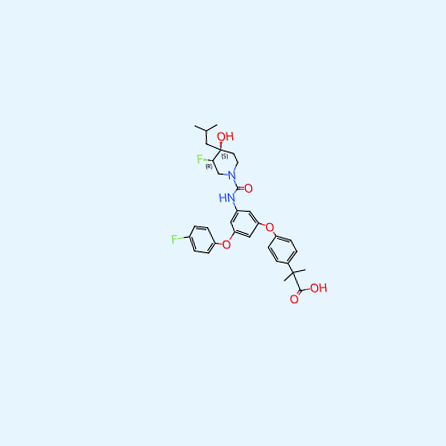 CC(C)C[C@]1(O)CCN(C(=O)Nc2cc(Oc3ccc(F)cc3)cc(Oc3ccc(C(C)(C)C(=O)O)cc3)c2)C[C@H]1F